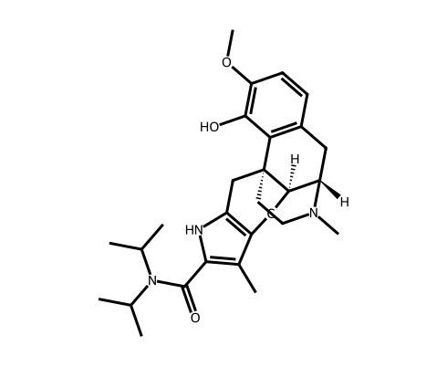 COc1ccc2c(c1O)[C@@]13CCN(C)[C@@H](C2)[C@H]1Cc1c([nH]c(C(=O)N(C(C)C)C(C)C)c1C)C3